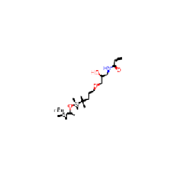 C=CC(=O)NCC(O)COCCCC(C)(C)[Si](C)(C)OC(C)[Si](C)(C)CCCC